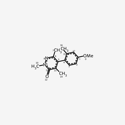 COc1ccc(-c2c(C)nn(C)c(=O)c2C)c(C)c1